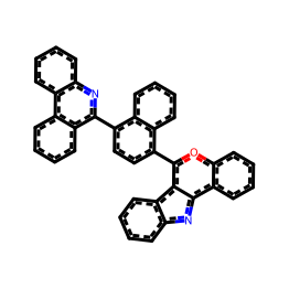 c1ccc2c3c(-c4ccc(-c5nc6ccccc6c6ccccc56)c5ccccc45)oc4ccccc4c-3nc2c1